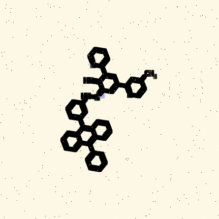 Cc1ccnc(C2=C/C(=N/Nc3cccc(-c4c5ccccc5c(-c5ccccc5)c5ccccc45)c3)C(=N)C(c3ccccn3)=C2)c1